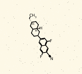 CC[C@@H]1CC[C@@H]2CC(c3cc(F)c4cc(C#N)c(F)cc4c3)CCC2C1